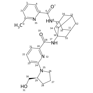 Cc1cccc(C(=O)NC23CC4CC(C2)CC(NC(=O)c2cccc(N5CCC[C@H]5CO)n2)(C4)C3)n1